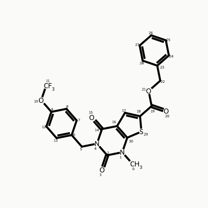 Cn1c(=O)n(Cc2ccc(OC(F)(F)F)cc2)c(=O)c2cc(C(=O)OCc3ccccc3)sc21